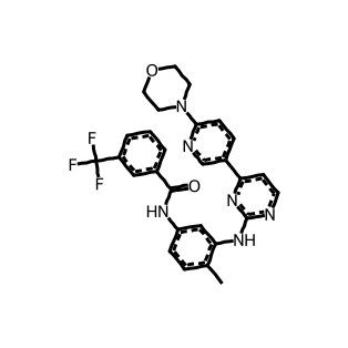 Cc1ccc(NC(=O)c2cccc(C(F)(F)F)c2)cc1Nc1nccc(-c2ccc(N3CCOCC3)nc2)n1